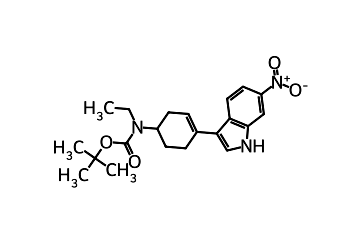 CCN(C(=O)OC(C)(C)C)C1CC=C(c2c[nH]c3cc([N+](=O)[O-])ccc23)CC1